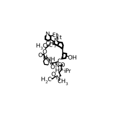 C=CC(=O)N(C)CC[C@H](C(=O)N[C@H]1Cc2cc(O)cc(c2)-c2ccc3c(c2)c(c(-c2cccnc2CC)n3CC)CC(C)(C)COC(=O)[C@@H]2CCCN(N2)C1=O)C(C)C